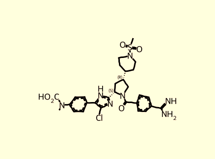 CN(C(=O)O)c1ccc(-c2[nH]c([C@@H]3C[C@H](C4CCN(S(C)(=O)=O)CC4)CN3C(=O)c3ccc(C(=N)N)cc3)nc2Cl)cc1